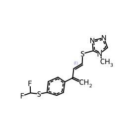 C=C(/C=C/Sc1nncn1C)c1ccc(SC(F)F)cc1